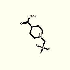 COC(=O)C1CC[NH+](C[B-](F)(F)F)CC1